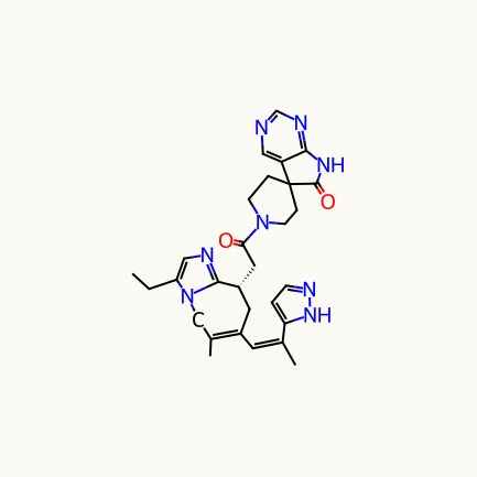 CCc1cnc2n1CC(C)=C(/C=C(/C)c1ccn[nH]1)C[C@H]2CC(=O)N1CCC2(CC1)C(=O)Nc1ncncc12